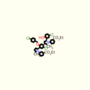 CCOC(=O)c1cccc(-n2c(C)ccc2-c2cc(Cl)ccc2O)c1.CCOC(=O)c1cccc(-n2c(C)ccc2-c2cc(Cl)ccc2OCc2ccc(Cl)cc2)c1